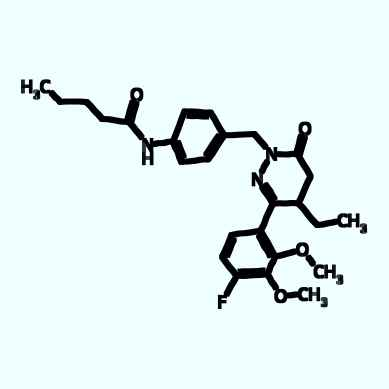 CCCCC(=O)Nc1ccc(CN2N=C(c3ccc(F)c(OC)c3OC)C(CC)CC2=O)cc1